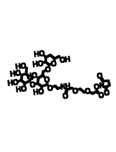 O=C(COCCOCC(=O)ON1C(=O)CCC1=O)NCCO[C@H]1OC(CO[C@H]2OC(CO)CC(O)C2O)[C@@H](O)C(O[C@H]2OC(CO)[C@@H](O)C(O)C2O)C1O